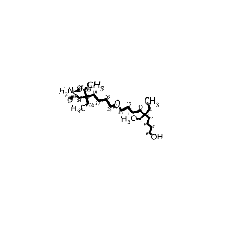 CCC(CC)(CCCCO)CCCCOCCCCC(CC)(CC)CS(N)(=O)=O